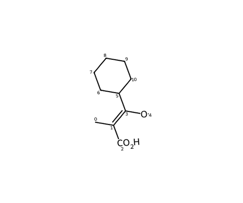 CC(C(=O)O)=C([O])C1CCCCC1